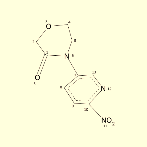 O=C1COCCN1c1ccc([N+](=O)[O-])nc1